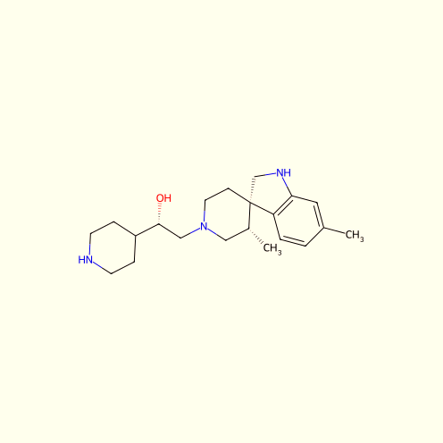 Cc1ccc2c(c1)NC[C@]21CCN(C[C@@H](O)C2CCNCC2)C[C@H]1C